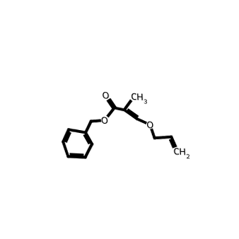 C=CCOC=C(C)C(=O)OCc1ccccc1